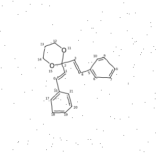 C(=C\C1(/C=C/c2ccccc2)OCCCO1)/c1ccccc1